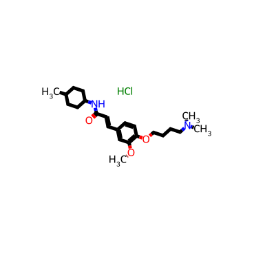 COc1cc(C=CC(=O)NC2CCC(C)CC2)ccc1OCCCCN(C)C.Cl